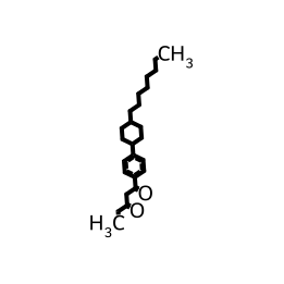 CCCCCCCCC1CCC(c2ccc(C(=O)CC(=O)CC)cc2)CC1